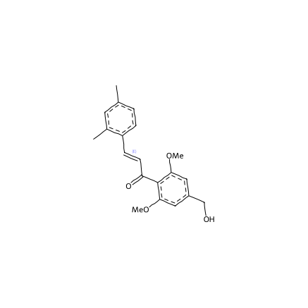 COc1cc(CO)cc(OC)c1C(=O)/C=C/c1ccc(C)cc1C